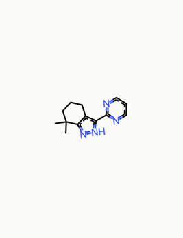 CC1(C)CCCc2c1n[nH]c2-c1ncccn1